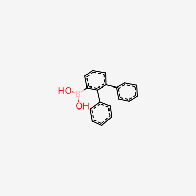 OB(O)c1cccc(-c2ccccc2)c1-c1ccccc1